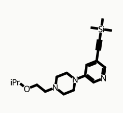 CC(C)OCCN1CCN(c2cncc(C#C[Si](C)(C)C)c2)CC1